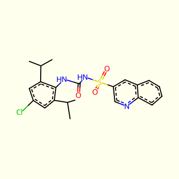 CC(C)c1cc(Cl)cc(C(C)C)c1NC(=O)NS(=O)(=O)c1cnc2ccccc2c1